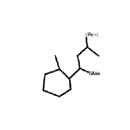 CCCCCC(C)CC(NC)C1CCCCC1C